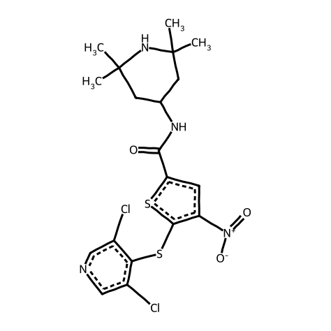 CC1(C)CC(NC(=O)c2cc([N+](=O)[O-])c(Sc3c(Cl)cncc3Cl)s2)CC(C)(C)N1